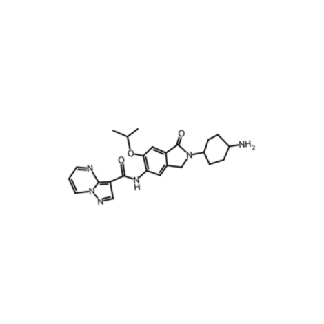 CC(C)Oc1cc2c(cc1NC(=O)c1cnn3cccnc13)CN(C1CCC(N)CC1)C2=O